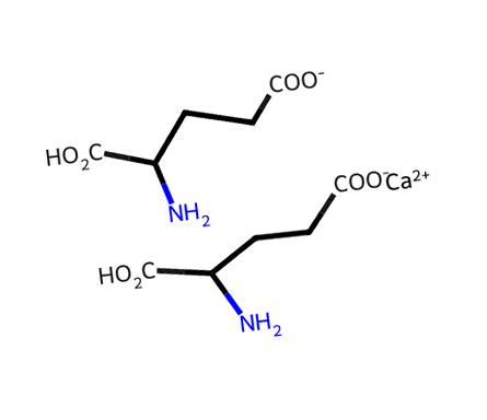 NC(CCC(=O)[O-])C(=O)O.NC(CCC(=O)[O-])C(=O)O.[Ca+2]